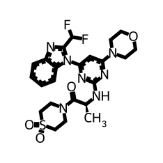 C[C@H](Nc1nc(N2CCOCC2)cc(-n2c(C(F)F)nc3ccccc32)n1)C(=O)N1CCS(=O)(=O)CC1